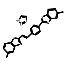 Cc1ccc2oc(C=Cc3ccc(-c4nc5cc(C)ccc5o4)cc3)nc2c1.c1c[nH]nn1